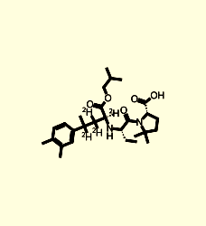 [2H]C(C)(c1ccc(C)c(C)c1)C([2H])([2H])[C@]([2H])(N[C@@H](CC)C(=O)N1[C@H](C(=O)O)CCC1(C)C)C(=O)OCC(C)C